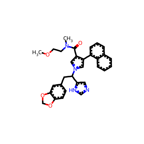 COCCN(C)C(=O)c1cn(C(Cc2ccc3c(c2)OCO3)c2cnc[nH]2)cc1-c1cccc2ccccc12